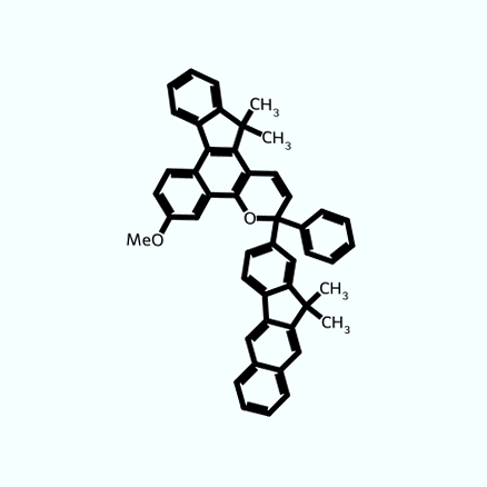 COc1ccc2c3c(c4c(c2c1)OC(c1ccccc1)(c1ccc2c(c1)C(C)(C)c1cc5ccccc5cc1-2)C=C4)C(C)(C)c1ccccc1-3